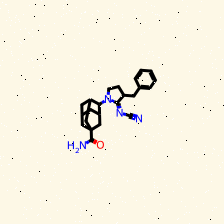 N#CN=C1C(Cc2ccccc2)CCN1C1C2CC3CC1CC(C(N)=O)(C3)C2